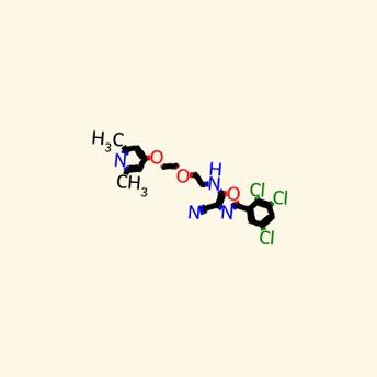 Cc1cc(OCCOCCNc2oc(-c3cc(Cl)cc(Cl)c3Cl)nc2C#N)cc(C)n1